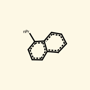 CCCc1cccc2[c]cccc12